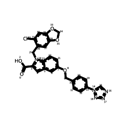 O=C(O)c1cc2cc(OCc3ccc(-n4cnnn4)cc3)ccc2n1Cc1cc2c(cc1Cl)OCO2